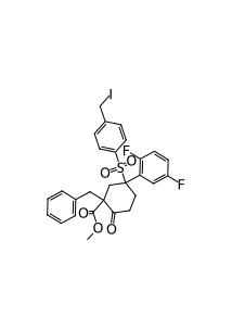 COC(=O)C1(Cc2ccccc2)CC(c2cc(F)ccc2F)(S(=O)(=O)c2ccc(CI)cc2)CCC1=O